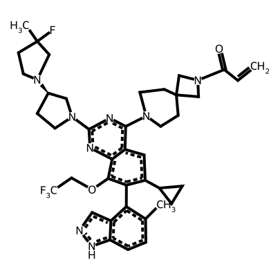 C=CC(=O)N1CC2(CCN(c3nc(N4CC[C@@H](N5CCC(C)(F)C5)C4)nc4c(OCC(F)(F)F)c(-c5c(C)ccc6[nH]ncc56)c(C5CC5)cc34)CC2)C1